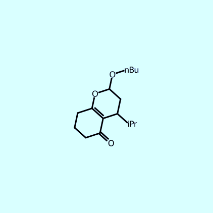 CCCCOC1CC(C(C)C)C2=C(CCCC2=O)O1